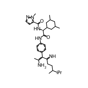 C/C(N)=C(/C(=N)CCC(C)C(C)C)c1ccc(NC(=O)[C@@H](NC(=O)c2ccnn2C)C2CC(C)CC(C)C2)cc1